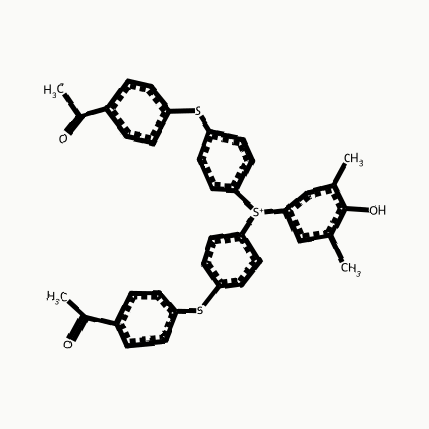 CC(=O)c1ccc(Sc2ccc([S+](c3ccc(Sc4ccc(C(C)=O)cc4)cc3)c3cc(C)c(O)c(C)c3)cc2)cc1